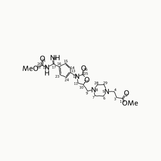 COC(=O)CCN1CCN(CC2CN(c3ccc(C(=N)NC(=O)OC)cc3)C(=O)O2)CC1